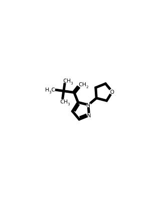 C=C(c1ccnn1C1CCOC1)C(C)(C)C